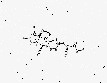 CCCN(C(=O)N1CCN(CC(=O)OCC)CC1)[Si](OC)(OC)OC